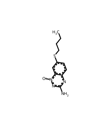 CCCCSc1ccc2nc(N)n[n+]([O-])c2c1